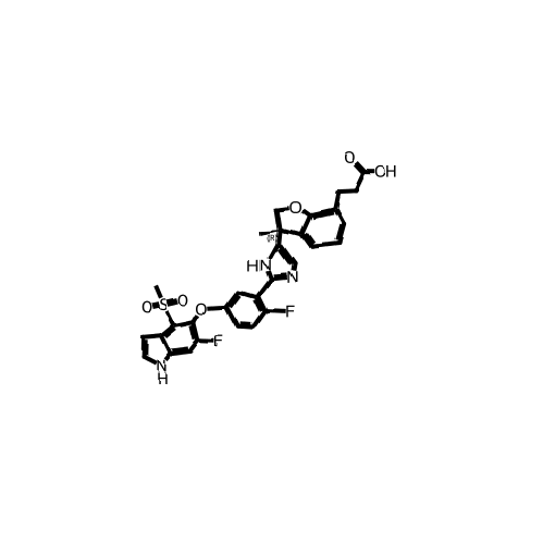 C[C@@]1(c2cnc(-c3cc(Oc4c(F)cc5[nH]ccc5c4S(C)(=O)=O)ccc3F)[nH]2)COc2c(CCC(=O)O)cccc21